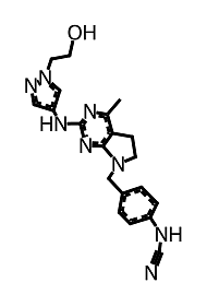 Cc1nc(Nc2cnn(CCO)c2)nc2c1CCN2Cc1ccc(NC#N)cc1